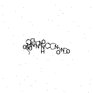 CCCS(=O)(=O)c1ccccc1Nc1nc(Nc2cc3c(cc2OC)CCN(CC(=O)N2CCOCC2)CC3)ncc1Cl